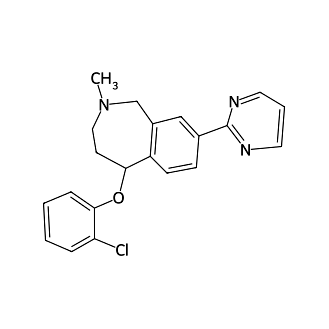 CN1CCC(Oc2ccccc2Cl)c2ccc(-c3ncccn3)cc2C1